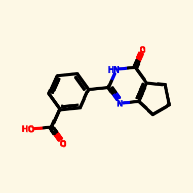 O=C(O)c1cccc(-c2nc3c(c(=O)[nH]2)CCC3)c1